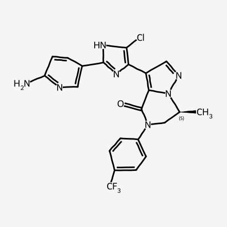 C[C@H]1CN(c2ccc(C(F)(F)F)cc2)C(=O)c2c(-c3nc(-c4ccc(N)nc4)[nH]c3Cl)cnn21